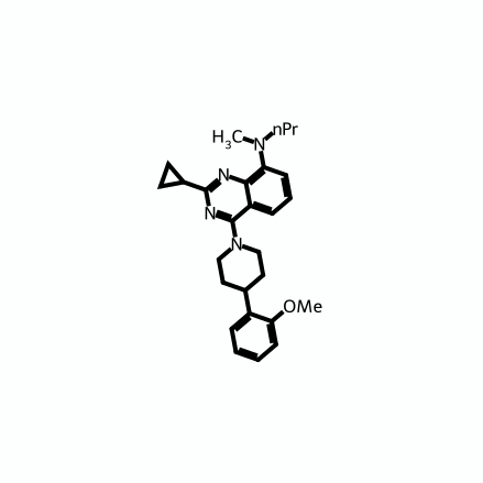 CCCN(C)c1cccc2c(N3CCC(c4ccccc4OC)CC3)nc(C3CC3)nc12